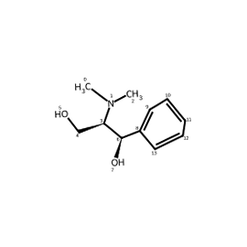 CN(C)[C@H](CO)[C@H](O)c1ccccc1